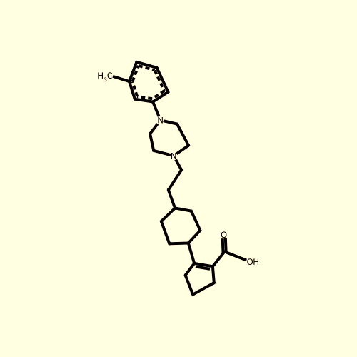 Cc1cccc(N2CCN(CCC3CCC(C4=C(C(=O)O)CCC4)CC3)CC2)c1